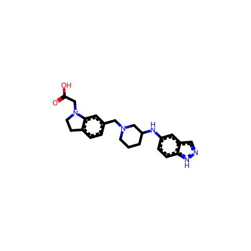 O=C(O)CN1CCc2ccc(CN3CCCC(Nc4ccc5[nH]ncc5c4)C3)cc21